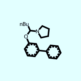 CCCCC(Oc1cccc(-c2ccccc2)c1)N1CCCC1